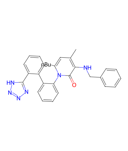 CCCCc1cc(C)c(NCc2ccccc2)c(=O)n1-c1ccccc1-c1ccccc1-c1nnn[nH]1